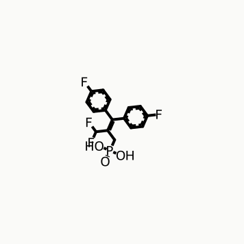 O=P(O)(O)CC(=C(c1ccc(F)cc1)c1ccc(F)cc1)C(F)F